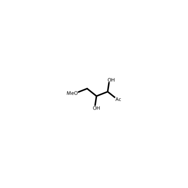 COCC(O)C(O)C(C)=O